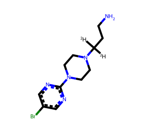 [2H]C([2H])(CCN)N1CCN(c2ncc(Br)cn2)CC1